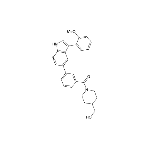 COc1ccccc1-c1c[nH]c2ncc(-c3cccc(C(=O)N4CCC(CO)CC4)c3)cc12